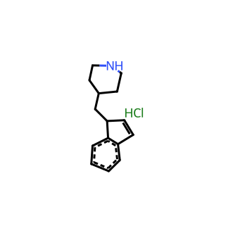 C1=CC(CC2CCNCC2)c2ccccc21.Cl